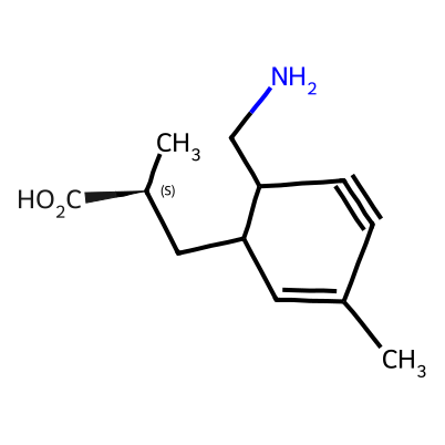 CC1=CC(C[C@H](C)C(=O)O)C(CN)C#C1